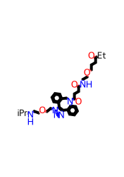 CCC(=O)CCCOCCNC(=O)CCC(=O)N1Cc2ccccc2-c2c(nnn2CCOCCNC(C)C)-c2ccccc21